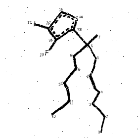 CCCCCCC(C)(CCCCC)c1scc(I)c1F